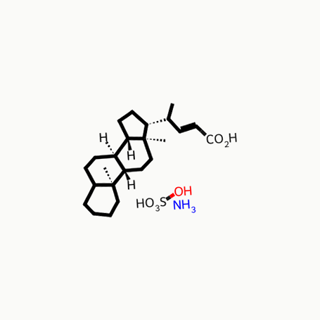 CC(C=CC(=O)O)[C@H]1CC[C@H]2[C@@H]3CCC4CCCC[C@]4(C)[C@H]3CC[C@]12C.N.O=S(=O)(O)O